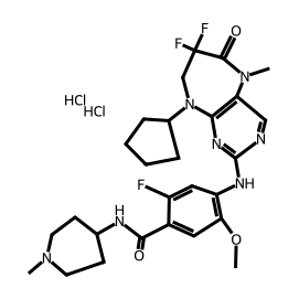 COc1cc(C(=O)NC2CCN(C)CC2)c(F)cc1Nc1ncc2c(n1)N(C1CCCC1)CC(F)(F)C(=O)N2C.Cl.Cl